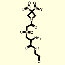 NC(CS(=O)(=O)CC(=O)N1CC([N+](=O)[O-])([N+](=O)[O-])C1)C(=O)NCC=O